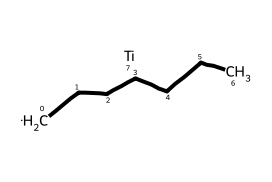 [CH2]CCCCCC.[Ti]